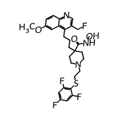 COc1ccc2ncc(CF)c(CCCC3(C(=O)NO)CCN(CCSc4c(F)cc(F)cc4F)CC3)c2c1